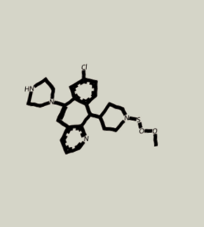 COOSN1CCC(C2c3ccc(Cl)cc3C(N3CCNCC3)=Cc3cccnc32)CC1